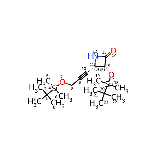 CC(C)(C)[Si](C)(C)OCC#C[C@@H]1NC(=O)[C@@H]1O[Si](C)(C)C(C)(C)C